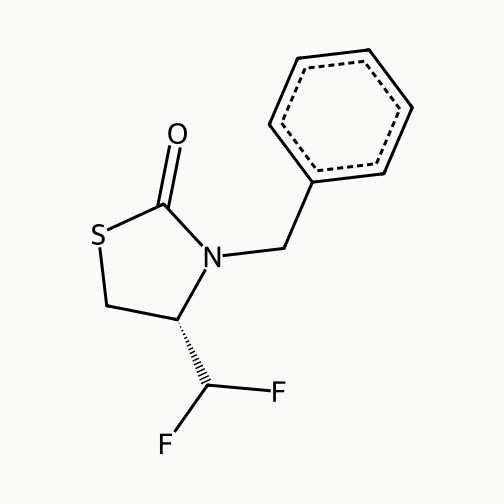 O=C1SC[C@@H](C(F)F)N1Cc1ccccc1